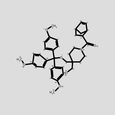 COc1ccc(C(OCC2(CO)CCN(C(=O)C3CC4C=CC3C4)CC2)(c2ccc(OC)cc2)c2ccc(OC)cc2)cc1